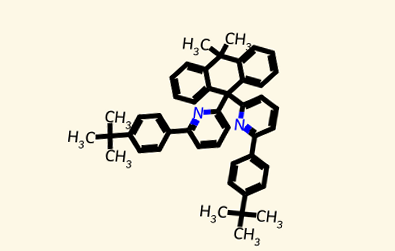 CC(C)(C)c1ccc(-c2cccc(C3(c4cccc(-c5ccc(C(C)(C)C)cc5)n4)c4ccccc4C(C)(C)c4ccccc43)n2)cc1